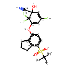 [2H]C([2H])([2H])S(=O)(=O)c1ccc(OC2=CC(F)=CC(O)(C#N)C2(F)F)c2c1CCC2